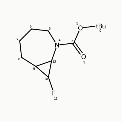 CC(C)(C)OC(=O)N1CCCCC2C(F)C21